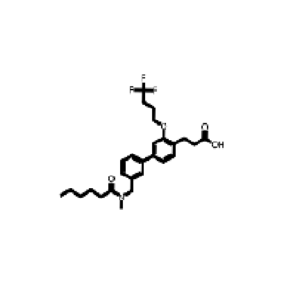 CCCCCC(=O)N(C)Cc1cccc(-c2ccc(CCC(=O)O)c(OCCCC(F)(F)F)c2)c1